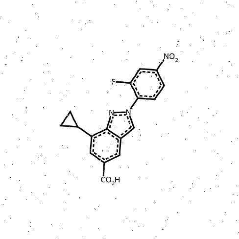 O=C(O)c1cc(C2CC2)c2nn(-c3ccc([N+](=O)[O-])cc3F)cc2c1